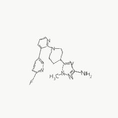 Cn1nc(N)nc1C1CCN(c2ncccc2-c2ccc(F)nc2)CC1